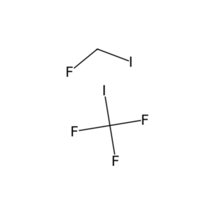 FC(F)(F)I.FCI